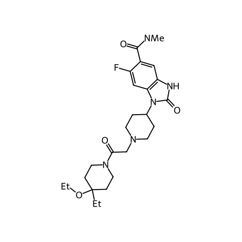 CCOC1(CC)CCN(C(=O)CN2CCC(n3c(=O)[nH]c4cc(C(=O)NC)c(F)cc43)CC2)CC1